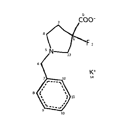 O=C([O-])C1(F)CCN(Cc2ccccc2)C1.[K+]